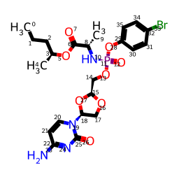 CCC[C@H](C)OC(=O)[C@H](C)N[P@](=O)(OC[C@H]1OC[C@@H](n2ccc(N)nc2=O)O1)Oc1ccc(Br)cc1